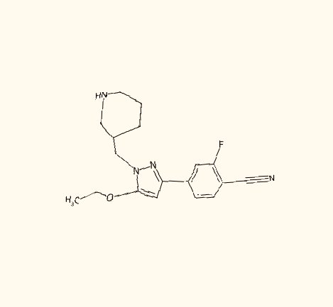 CCOc1cc(-c2ccc(C#N)c(F)c2)nn1CC1CCCNC1